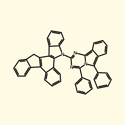 c1ccc(-c2nc(-n3c4ccccc4c4c5c(c6ccccc6c43)-c3ccccc3C5)nc3c4ccccc4c(-c4ccccc4)n23)cc1